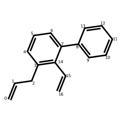 C=CCc1cccc(-c2ccccc2)c1C=C